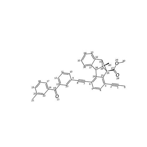 CC#Cc1ccc(C#Cc2cccc(C(=O)c3cccc(C)c3)c2)c2c1[C@@]1(C(=O)OC)C3c4ccccc4C2[C@]31C